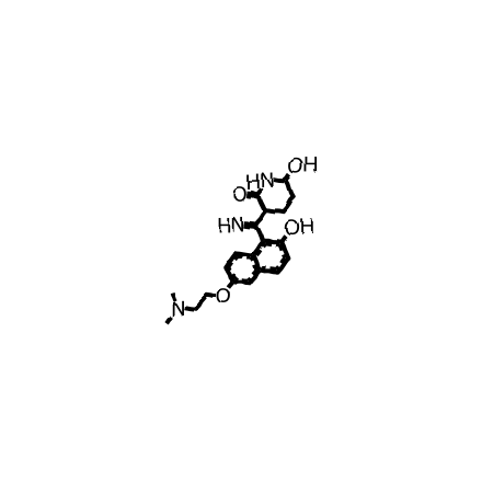 CN(C)CCOc1ccc2c(C(=N)C3CCC(O)NC3=O)c(O)ccc2c1